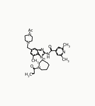 C=CC(=O)N1CCCC[C@@H](n2c(NC(=O)c3cc(C)nc(C)c3)nc3cc(CN4CCN(C(C)=O)CC4)cc(C)c32)C1